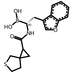 O=C(N[C@@H](Cc1coc2ccccc12)B(O)O)C1CC12CCSC2